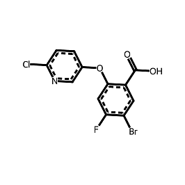 O=C(O)c1cc(Br)c(F)cc1Oc1ccc(Cl)nc1